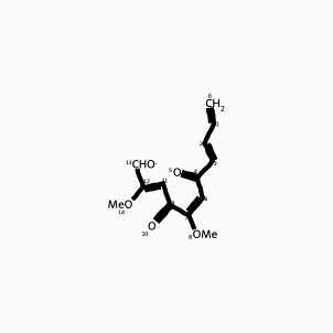 C=CC=CC(=O)C=C(OC)C(=O)C=C([C]=O)OC